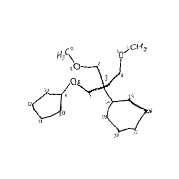 COCC(COC)(COC1CCCC1)C1CCCCC1